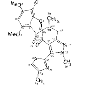 COc1cc(OC)c2c(c1Cl)O[C@]1(C2=O)C(=O)c2c(nn(C)c2-c2nc(C)cs2)C[C@H]1C